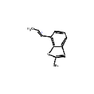 [CH2]/C=C/c1cccc2nc(CCCC)sc12